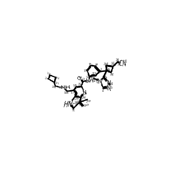 Cn1cnnc1C1(c2cccc(NC(=O)c3cc(CNCC4CCC4)c4c(n3)C(C)(C)CN4)c2)CC(CC#N)C1